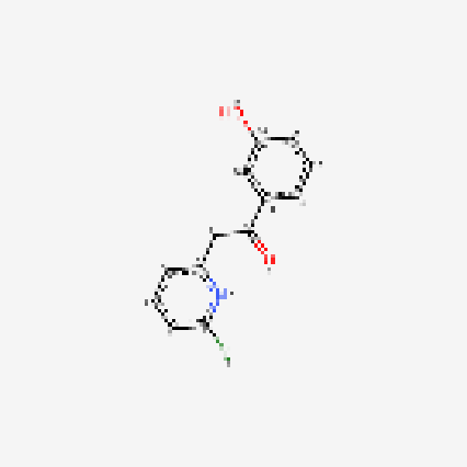 O=C(Cc1cccc(Cl)n1)c1cccc(O)c1